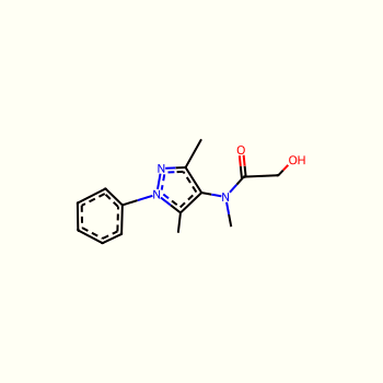 Cc1nn(-c2ccccc2)c(C)c1N(C)C(=O)CO